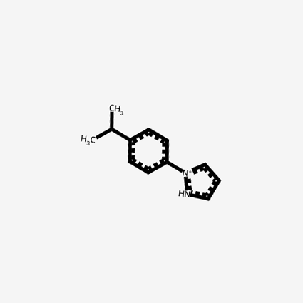 CC(C)c1ccc(-[n+]2ccc[nH]2)cc1